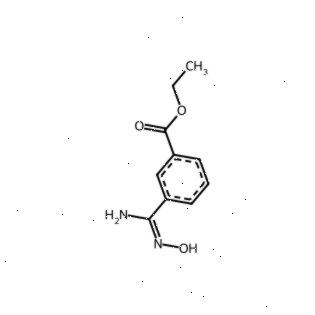 CCOC(=O)c1cccc(/C(N)=N\O)c1